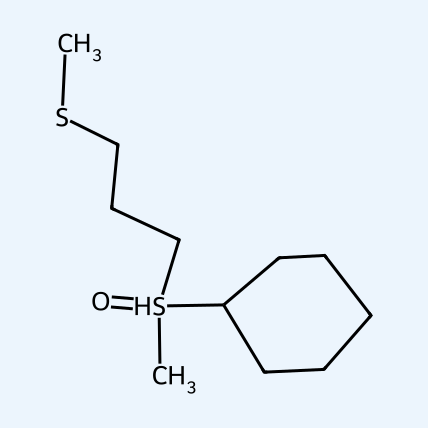 CSCCC[SH](C)(=O)C1CCCCC1